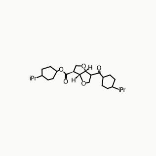 CC(C)C1CCC(OC(=O)[C@H]2CO[C@@H]3C(C(=O)C4CCC(C(C)C)CC4)CO[C@H]23)CC1